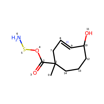 CC1(C(=O)OSN)C/C=C/C(O)CCC1